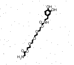 NCC(=O)OCCOCCOCCOCCOC(=O)NCCc1ccc(O)c(O)c1